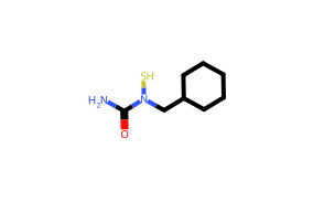 NC(=O)N(S)CC1CCCCC1